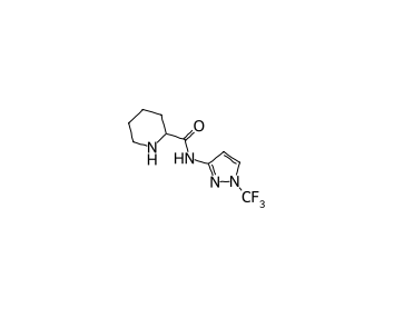 O=C(Nc1ccn(C(F)(F)F)n1)C1CCCCN1